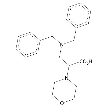 O=C(O)C(CN(Cc1ccccc1)Cc1ccccc1)N1CCOCC1